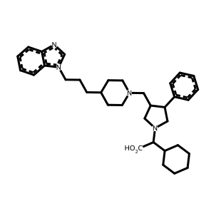 O=C(O)C(C1CCCCC1)N1CC(CN2CCC(CCCn3cnc4ccccc43)CC2)C(c2ccccc2)C1